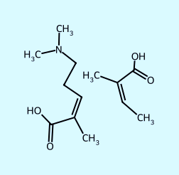 CC(=CCCN(C)C)C(=O)O.CC=C(C)C(=O)O